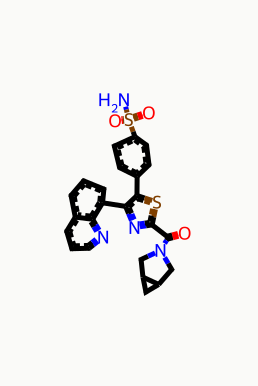 NS(=O)(=O)c1ccc(-c2sc(C(=O)N3CC4CC4C3)nc2-c2cccc3cccnc23)cc1